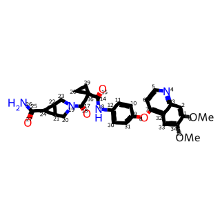 COc1cc2nccc(Oc3ccc(NC(=O)C4(C(=O)N5CC6C(C5)C6C(N)=O)CC4)cc3)c2cc1OC